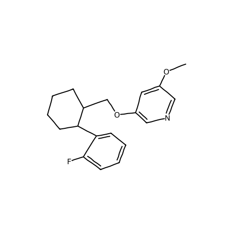 COc1cncc(OCC2CCCCC2c2ccccc2F)c1